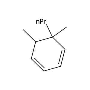 CCCC1(C)C=CC=CC1C